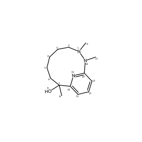 CN1CCCCCC(C)(O)c2cccc(n2)N1C